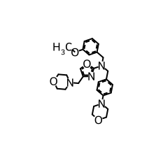 COc1cccc(CN(Cc2ccc(N3CCOCC3)cc2)c2nc(CN3CCOCC3)co2)c1